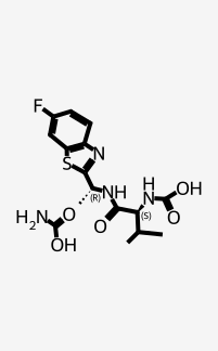 CC(C)[C@H](NC(=O)O)C(=O)N[C@H](C)c1nc2ccc(F)cc2s1.NC(=O)O